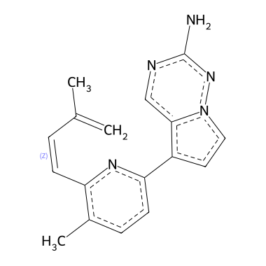 C=C(C)/C=C\c1nc(-c2ccn3nc(N)ncc23)ccc1C